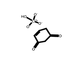 O=C1C=CCC(=O)C1.[O-][Cl+3]([O-])([O-])O